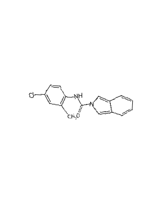 Cc1cc(Cl)ccc1NC(=O)n1cc2ccccc2c1